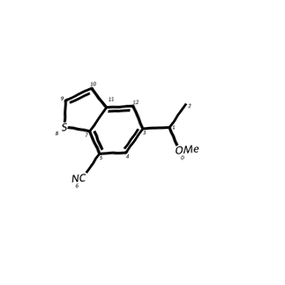 COC(C)c1cc(C#N)c2sccc2c1